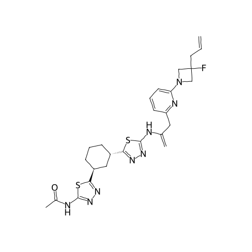 C=CCC1(F)CN(c2cccc(CC(=C)Nc3nnc([C@H]4CCC[C@H](c5nnc(NC(C)=O)s5)C4)s3)n2)C1